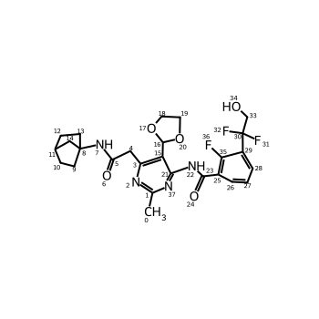 Cc1nc(CC(=O)NC23CCC(CC2)C3)c(C2OCCO2)c(NC(=O)c2cccc(C(F)(F)CO)c2F)n1